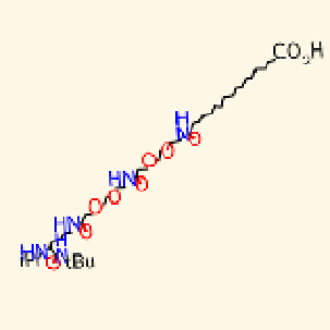 CC(C)NC(CCCCNC(=O)CCOCCOCCNC(=O)CCOCCOCCNC(=O)CCCCCCCCCCCCCCCCC(=O)O)C(=O)NC(C)(C)C